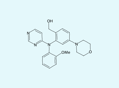 COc1ccccc1N(c1ccncn1)c1cc(N2CCOCC2)ccc1CO